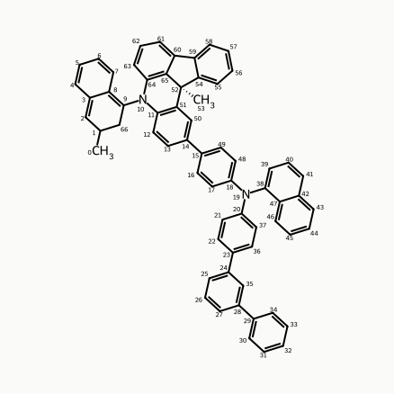 CC1C=c2ccccc2=C(N2c3ccc(-c4ccc(N(c5ccc(-c6cccc(-c7ccccc7)c6)cc5)c5cccc6ccccc56)cc4)cc3[C@]3(C)c4ccccc4-c4cccc2c43)C1